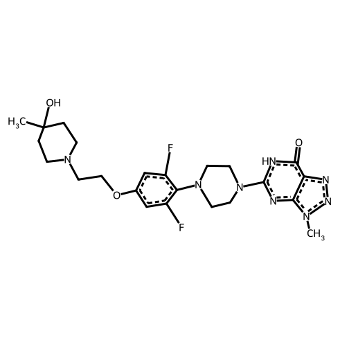 Cn1nnc2c(=O)[nH]c(N3CCN(c4c(F)cc(OCCN5CCC(C)(O)CC5)cc4F)CC3)nc21